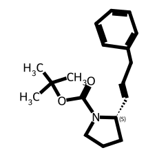 CC(C)(C)OC(=O)N1CCC[C@H]1C=CCc1ccccc1